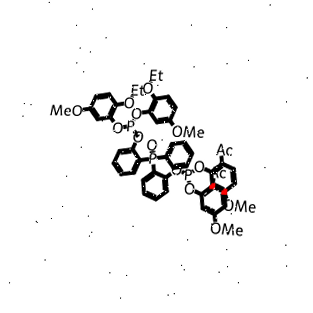 CCOc1ccc(OC)cc1OP(Oc1cc(OC)ccc1OCC)Oc1ccccc1P(=O)(c1ccccc1)c1ccccc1OP(Oc1cc(OC)ccc1C(C)=O)Oc1cc(OC)ccc1C(C)=O